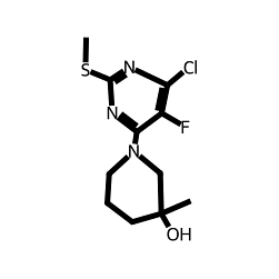 CSc1nc(Cl)c(F)c(N2CCCC(C)(O)C2)n1